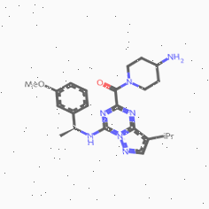 COc1cccc([C@H](C)Nc2nc(C(=O)N3CCC(N)CC3)nc3c(C(C)C)cnn23)c1